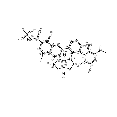 CNc1cc(F)c(F)c2c1[nH]c1ncc(-c3cnc4c(c3)c(=O)c(C(=O)NS(C)(=O)=O)cn4C)c(N3CC[C@H]4CN(C)C[C@H]43)c12